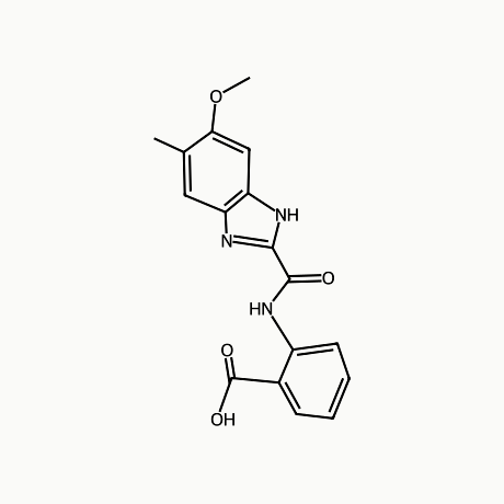 COc1cc2[nH]c(C(=O)Nc3ccccc3C(=O)O)nc2cc1C